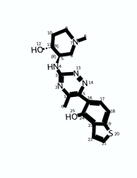 Cc1nc(N[C@@H]2CN(C)CC[C@H]2O)nnc1-c1ccc2sccc2c1O